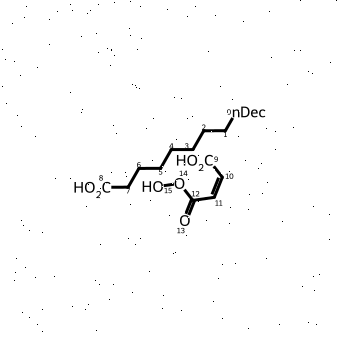 CCCCCCCCCCCCCCCCCC(=O)O.O=C(O)/C=C\C(=O)OO